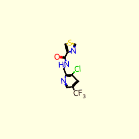 O=C(NCc1ncc(C(F)(F)F)cc1Cl)c1cscn1